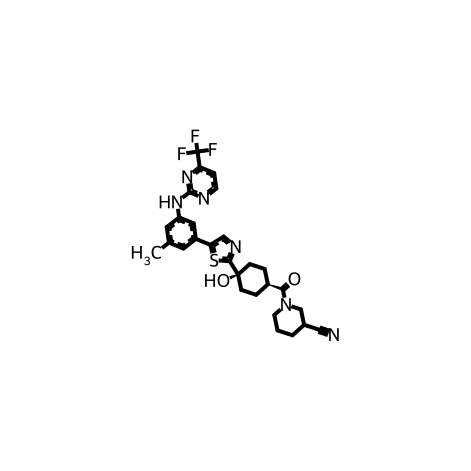 Cc1cc(Nc2nccc(C(F)(F)F)n2)cc(-c2cnc([C@]3(O)CC[C@@H](C(=O)N4CCCC(C#N)C4)CC3)s2)c1